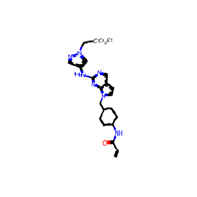 C=CC(=O)NC1CCC(Cn2ccc3cnc(Nc4cnn(CC(=O)OCC)c4)nc32)CC1